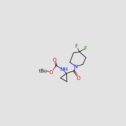 CC(C)(C)OC(=O)NC1(C(=O)N2CCC(F)(F)CC2)CC1